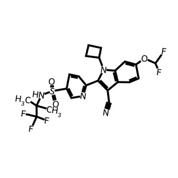 CC(C)(NS(=O)(=O)c1ccc(-c2c(C#N)c3ccc(OC(F)F)cc3n2C2CCC2)nc1)C(F)(F)F